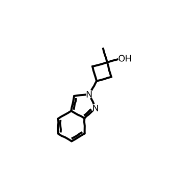 CC1(O)CC(n2cc3ccccc3n2)C1